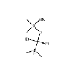 CCCC[Si](C)(C)OC(CC)(CC)[SiH](C)C